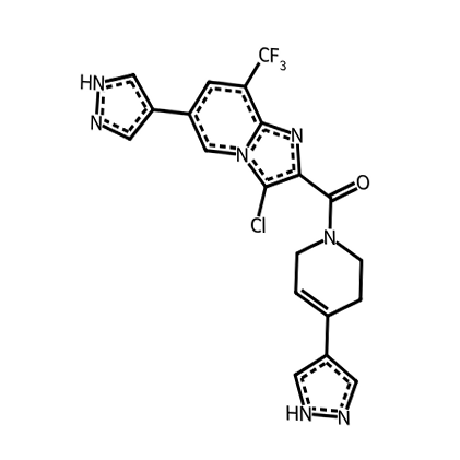 O=C(c1nc2c(C(F)(F)F)cc(-c3cn[nH]c3)cn2c1Cl)N1CC=C(c2cn[nH]c2)CC1